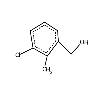 Cc1c(Cl)cccc1[CH]O